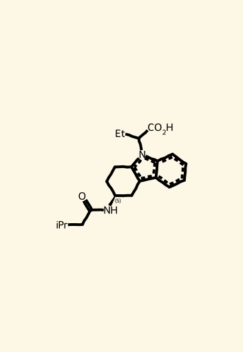 CCC(C(=O)O)n1c2c(c3ccccc31)C[C@@H](NC(=O)CC(C)C)CC2